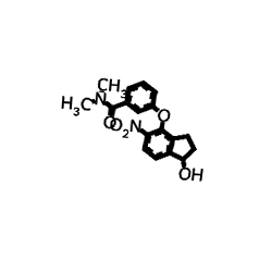 CN(C)C(=O)c1cccc(Oc2c([N+](=O)[O-])ccc3c2CCC3O)c1